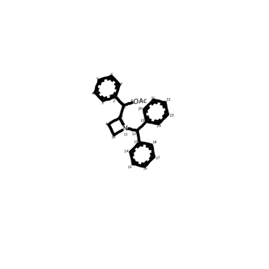 CC(=O)OC(c1ccccc1)C1CCN1C(c1ccccc1)c1ccccc1